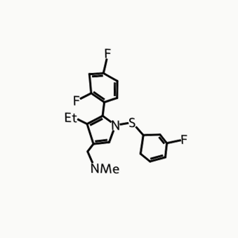 CCc1c(CNC)cn(SC2C=C(F)C=CC2)c1-c1ccc(F)cc1F